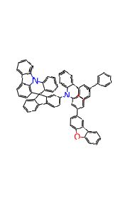 c1ccc(-c2cccc(-c3ccccc3N(c3cccc(-c4ccc5oc6ccccc6c5c4)c3)c3ccc4c(c3)C3(c5ccccc5-4)c4ccccc4-n4c5ccccc5c5cccc3c54)c2)cc1